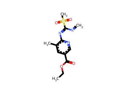 C=N/C(=N\c1ncc(C(=O)OCC)cc1C)S(C)(=O)=O